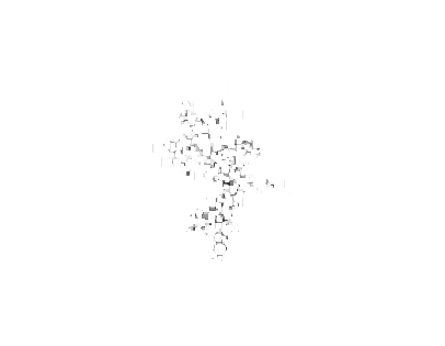 CC[C@H](C)[C@H](N)C(=O)N[C@@H](CC(=O)O)C(=O)N[C@@H](Cc1c[nH]cn1)C(=O)N[C@@H](CCC(=O)O)C(=O)N[C@H](C(=O)N[C@H](C(=O)N[C@@H](CCC(=O)O)C(=O)N[C@@H](CCCCN)C(=O)N[C@@H](CC(=O)O)C(=O)N[C@@H](C)C(=O)N[C@@H](Cc1c[nH]c2ccccc12)C(=O)O)C(C)C)[C@@H](C)CC